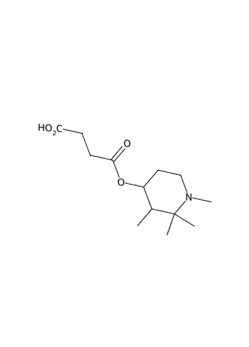 CC1C(OC(=O)CCC(=O)O)CCN(C)C1(C)C